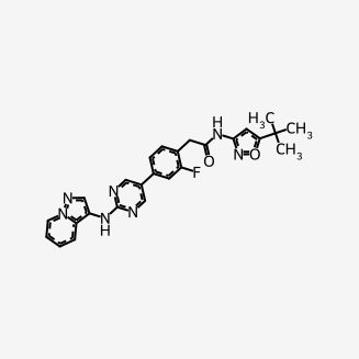 CC(C)(C)c1cc(NC(=O)Cc2ccc(-c3cnc(Nc4cnn5ccccc45)nc3)cc2F)no1